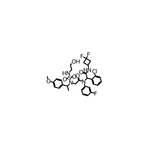 COc1ccc(C(C)N(CC(=O)N(c2cccc(F)c2)C(C(=O)NC2CC(F)(F)C2)c2ccccc2Cl)S(=O)(=O)NCCO)cc1